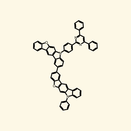 c1ccc(-c2cc(-c3ccccc3)nc(-c3ccc(-n4c5ccc(-c6ccc7oc8cc9c(cc8c7c6)c6ccccc6n9-c6ccccc6)cc5c5cc6c(cc54)oc4ccccc46)cc3)n2)cc1